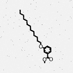 CCCCCCCCCCCCCOc1cccc(C(=O)OC)c1